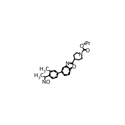 Cc1cc(-c2ccc3oc(C4CCN(C(=O)OC(C)C)CC4)nc3c2)ccc1C(C)N=O